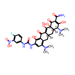 CN(C)c1cc(NC(=O)Nc2ccc(F)c([N+](=O)O)c2)c(O)c2c1C[C@H]1C[C@H]3[C@H](N(C)C)C(O)=C(C(N)=O)C(=O)[C@@]3(O)C(O)=C1C2=O